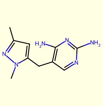 Cc1cc(Cc2cnc(N)nc2N)n(C)n1